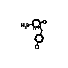 Bc1ccc(=O)n(Cc2ccc(Cl)cc2)n1